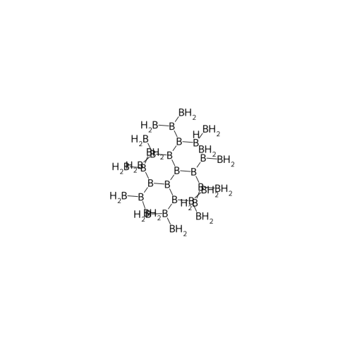 BBB(B(B)B)B(B(B)B)B(B(B(B)B)B(B)B)B(B(B(B)B)B(B)B)B(B(B)B)B(B)B